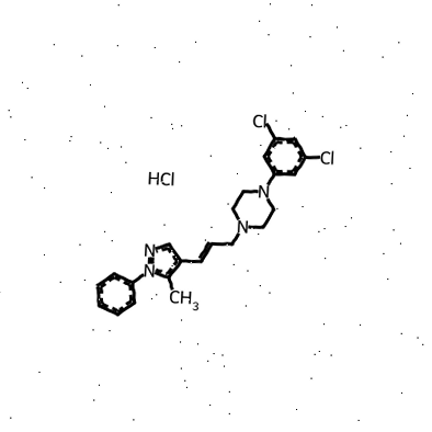 Cc1c(C=CCN2CCN(c3cc(Cl)cc(Cl)c3)CC2)cnn1-c1ccccc1.Cl